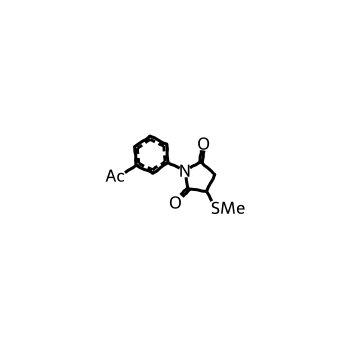 CSC1CC(=O)N(c2cccc(C(C)=O)c2)C1=O